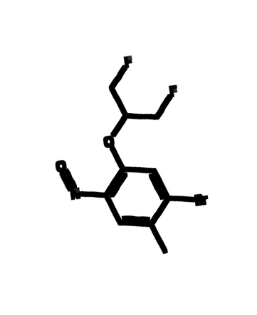 Cc1cc(N=O)c(OC(CF)CF)cc1Br